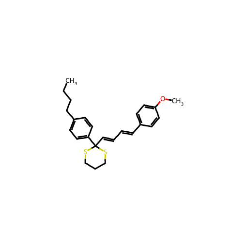 CCCCc1ccc(C2(/C=C/C=C/c3ccc(OC)cc3)SCCCS2)cc1